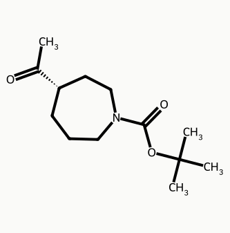 CC(=O)[C@H]1CCCN(C(=O)OC(C)(C)C)CC1